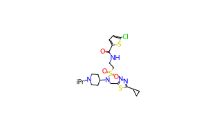 CC(C)N1CCC(N(Cc2nnc(C3CC3)s2)S(=O)(=O)CCNC(=O)c2ccc(Cl)s2)CC1